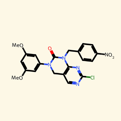 COc1cc(OC)cc(N2Cc3cnc(Cl)nc3N(Cc3ccc([N+](=O)[O-])cc3)C2=O)c1